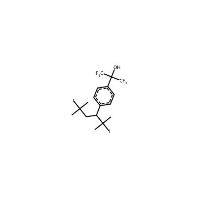 CC(C)(I)CC(c1ccc(C(O)(C(F)(F)F)C(F)(F)F)cc1)C(C)(C)I